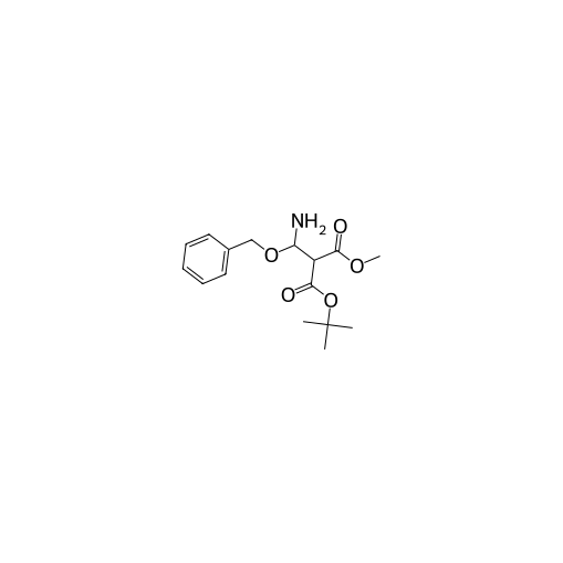 COC(=O)C(C(=O)OC(C)(C)C)C(N)OCc1ccccc1